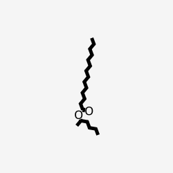 CCCCCCCCCCCCCC(=O)OC(C)CCCC